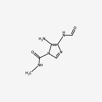 CNC(=O)n1cnc(NC=O)c1N